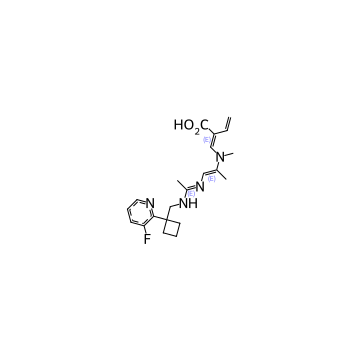 C=C/C(=C\N(C)/C(C)=C/N=C(\C)NCC1(c2ncccc2F)CCC1)C(=O)O